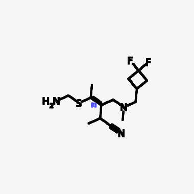 C/C(SCN)=C(\CN(C)CC1CC(F)(F)C1)C(C)C#N